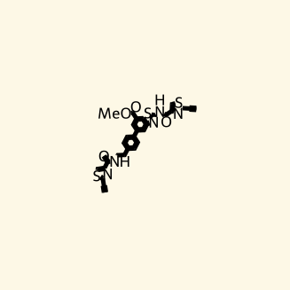 C#Cc1nc(C(=O)NCCc2ccc(-c3cc(C(=O)OC)c4sc(NC(=O)c5csc(C#C)n5)nc4c3)cc2)cs1